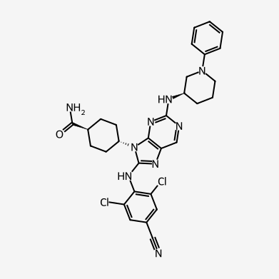 N#Cc1cc(Cl)c(Nc2nc3cnc(N[C@@H]4CCCN(c5ccccc5)C4)nc3n2[C@H]2CC[C@H](C(N)=O)CC2)c(Cl)c1